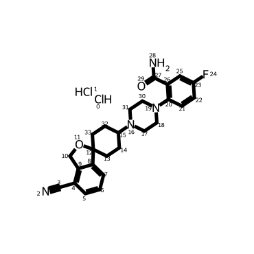 Cl.Cl.N#Cc1cccc2c1COC21CCC(N2CCN(c3ccc(F)cc3C(N)=O)CC2)CC1